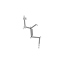 CCO/C(C)=C/CI